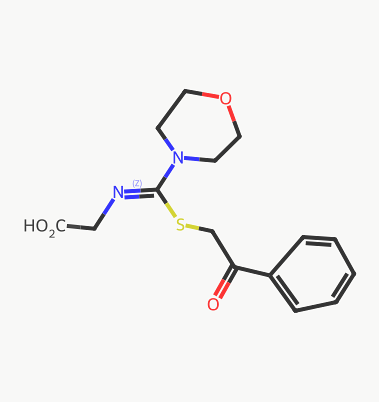 O=C(O)C/N=C(\SCC(=O)c1ccccc1)N1CCOCC1